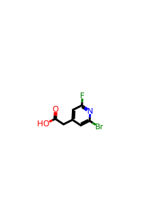 O=C(O)Cc1cc(F)nc(Br)c1